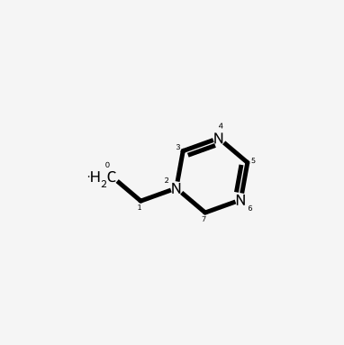 [CH2]CN1C=NC=NC1